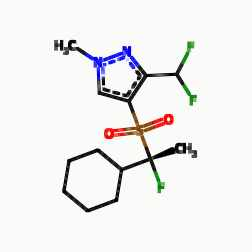 Cn1cc(S(=O)(=O)[C@](C)(F)C2CCCCC2)c(C(F)F)n1